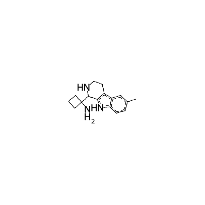 Cc1ccc2[nH]c3c(c2c1)CCNC3C1(N)CCC1